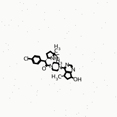 C[C@@H]1CC(O)c2ncnc(N3CCN(C(=O)C(c4ccc(Cl)cc4)[C@@H]4CCC(C)(C)N4)CC3)c21